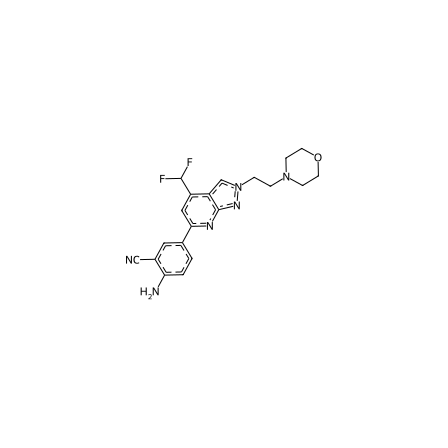 N#Cc1cc(-c2cc(C(F)F)c3cn(CCN4CCOCC4)nc3n2)ccc1N